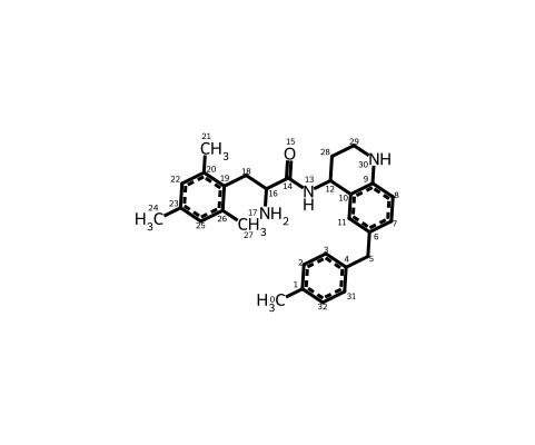 Cc1ccc(Cc2ccc3c(c2)C(NC(=O)C(N)Cc2c(C)cc(C)cc2C)CCN3)cc1